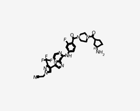 N#CCn1cc(-c2cnc3c(Nc4ccc(C(=O)N5CCN(C(=O)C6CC[C@@H](N)C6)CC5)c(F)c4)nccn23)c(C(F)(F)F)n1